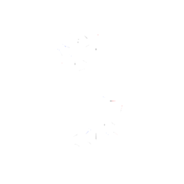 CCc1c2c(nc3ccc(O)cc13)-c1cc3c(c(=O)n1C2)COC(=O)[C@H]3OC(=O)N1CCC(CCc2ccc(-n3c(O)nnc3-c3cc(C(C)C)c(O)cc3O)cc2)CC1